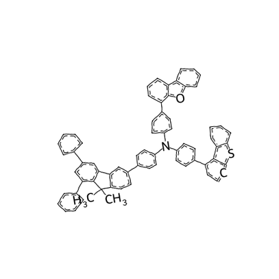 CC1(C)c2ccc(-c3ccc(N(c4ccc(-c5cccc6c5oc5ccccc56)cc4)c4ccc(-c5cccc6sc7ccccc7c56)cc4)cc3)cc2-c2cc(-c3ccccc3)cc(-c3ccccc3)c21